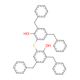 Oc1c(Cc2ccccc2)cc(Cc2ccccc2)cc1Sc1cc(Cc2ccccc2)cc(Cc2ccccc2)c1O